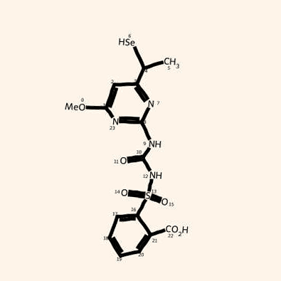 COc1cc(C(C)[SeH])nc(NC(=O)NS(=O)(=O)c2ccccc2C(=O)O)n1